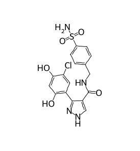 NS(=O)(=O)c1ccc(CNC(=O)c2c[nH]nc2-c2cc(Cl)c(O)cc2O)cc1